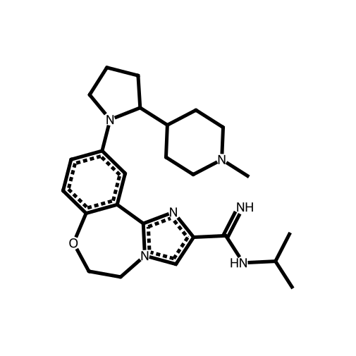 CC(C)NC(=N)c1cn2c(n1)-c1cc(N3CCCC3C3CCN(C)CC3)ccc1OCC2